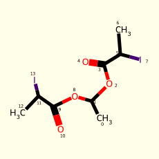 CC(OC(=O)C(C)I)OC(=O)C(C)I